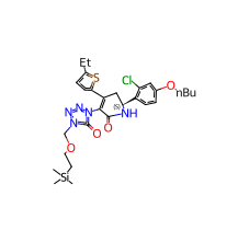 CCCCOc1ccc([C@@H]2CC(c3ccc(CC)s3)=C(n3nnn(COCC[Si](C)(C)C)c3=O)C(=O)N2)c(Cl)c1